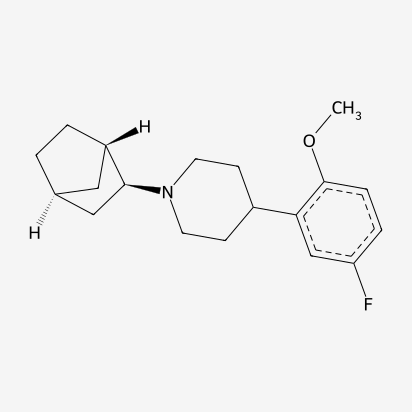 COc1ccc(F)cc1C1CCN([C@H]2C[C@H]3CC[C@H]2C3)CC1